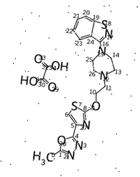 Cc1nnc(-c2csc(OCCN3CCN(c4nsc5ccccc45)CC3)n2)o1.O=C(O)C(=O)O